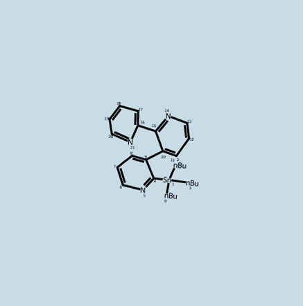 CCC[CH2][Sn]([CH2]CCC)([CH2]CCC)[c]1ncccc1-c1cccnc1-c1ccccn1